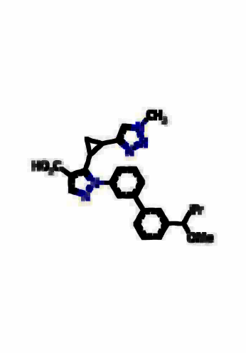 COC(c1cccc(-c2cccc(-n3ncc(C(=O)O)c3C3CC3c3cn(C)nn3)c2)c1)C(C)C